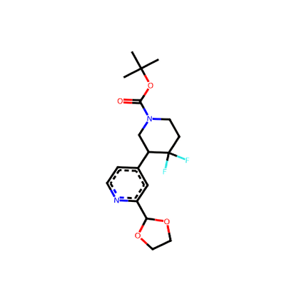 CC(C)(C)OC(=O)N1CCC(F)(F)C(c2ccnc(C3OCCO3)c2)C1